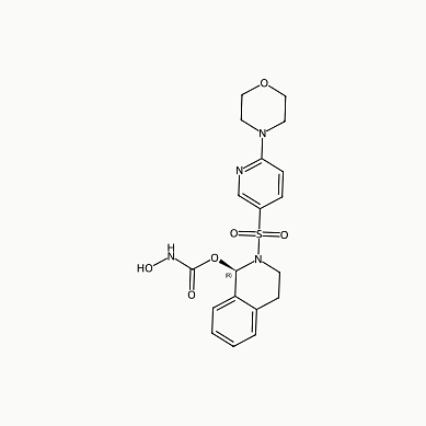 O=C(NO)O[C@@H]1c2ccccc2CCN1S(=O)(=O)c1ccc(N2CCOCC2)nc1